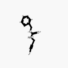 O=C(NCC#CI)OCc1ccccc1